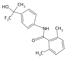 Cc1cccc(C)c1C(=O)Nc1ccc(C(C)(O)C(F)(F)F)cc1